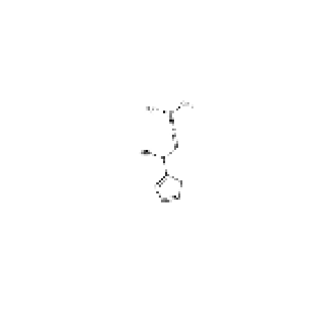 C[Si](C)=C=CC([NH])C1=CC=CC1